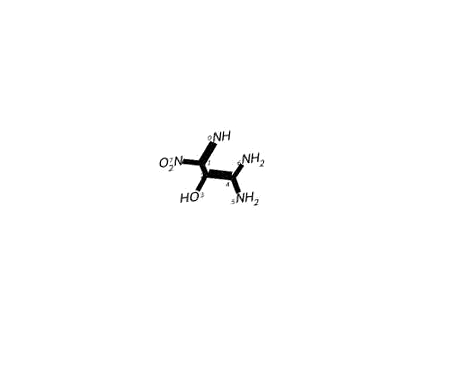 N=C(C(O)=C(N)N)[N+](=O)[O-]